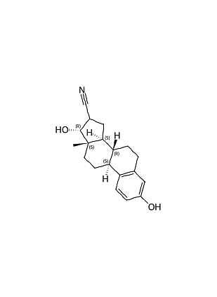 C[C@]12CC[C@@H]3c4ccc(O)cc4CC[C@H]3[C@@H]1CC(C#N)[C@H]2O